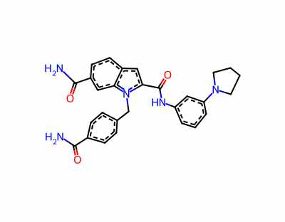 NC(=O)c1ccc(Cn2c(C(=O)Nc3cccc(N4CCCC4)c3)cc3ccc(C(N)=O)cc32)cc1